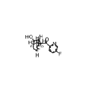 O=C(c1ccc(F)cn1)N1C[C@H]2C[C@@H]3N[C@H](C2)[C@@H](O)[C@H]31